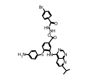 CC(C)c1ccc2c(Nc3cc(C(=O)ONNC(=O)c4ccc(Br)cc4)ccc3Sc3ccc(N)cc3)ncnc2n1